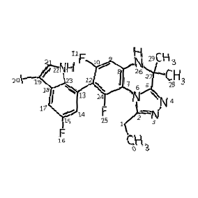 CCc1nnc2n1-c1c(cc(F)c(-c3cc(F)cc4c(I)c[nH]c34)c1F)NC2(C)C